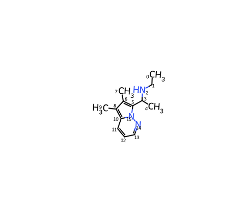 CCNC(C)c1c(C)c(C)c2cccnn12